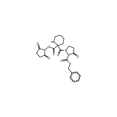 O=C1CCC(=O)N1OC(=O)C1(C(=O)[C@H]2CCC(=O)N2C(=O)OCc2ccccc2)CCCCN1